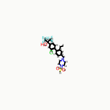 CCc1cc(CN2CCN(S(C)(=O)=O)CC2)ccc1-c1ccc(C(O)(C(F)(F)F)C(F)(F)F)cc1Cl